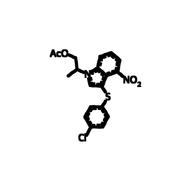 CC(=O)OCC(C)n1cc(Sc2ccc(Cl)cc2)c2c([N+](=O)[O-])cccc21